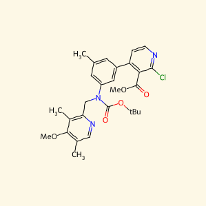 COC(=O)c1c(-c2cc(C)cc(N(Cc3ncc(C)c(OC)c3C)C(=O)OC(C)(C)C)c2)ccnc1Cl